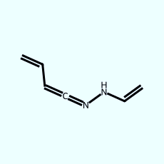 C=CC=C=NNC=C